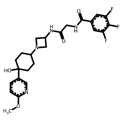 COc1ccc(C2(O)CCC(N3CC(NC(=O)CNC(=O)c4cc(F)c(F)c(F)c4)C3)CC2)cn1